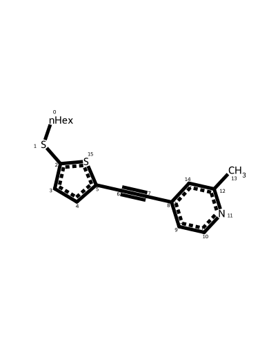 CCCCCCSc1ccc(C#Cc2ccnc(C)c2)s1